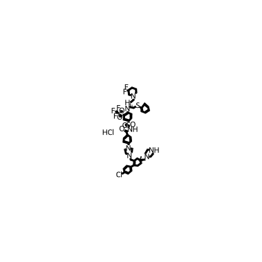 C[C@@]1(CN2CCNCC2)CCC(c2ccc(Cl)cc2)=C(CN2CCN(c3ccc(C(=O)NS(=O)(=O)c4ccc(N[C@H](CCN5CCCC(F)(F)C5)CSc5ccccc5)c(S(=O)(=O)C(F)(F)F)c4)cc3)CC2)C1.Cl